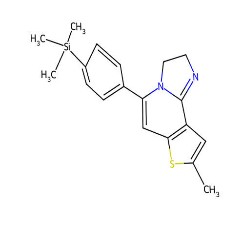 Cc1cc2c(s1)C=C(c1ccc([Si](C)(C)C)cc1)N1CCN=C21